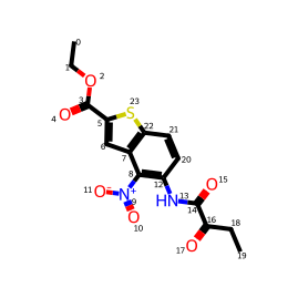 CCOC(=O)c1cc2c([N+](=O)[O-])c(NC(=O)C(=O)CC)ccc2s1